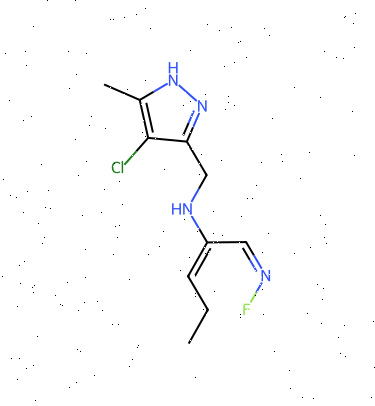 CC/C=C(\C=N/F)NCc1n[nH]c(C)c1Cl